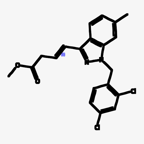 COC(=O)C/C=C/c1nn(Cc2ccc(Cl)cc2Cl)c2cc(C)ccc12